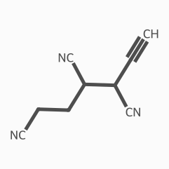 C#CC(C#N)C(C#N)CCC#N